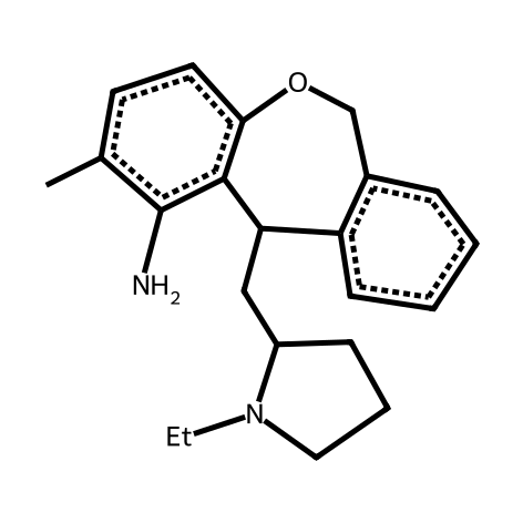 CCN1CCCC1CC1c2ccccc2COc2ccc(C)c(N)c21